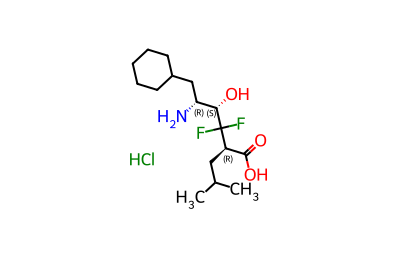 CC(C)C[C@H](C(=O)O)C(F)(F)[C@@H](O)[C@H](N)CC1CCCCC1.Cl